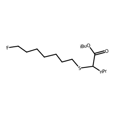 CCCC(SCCCCCCCF)C(=O)OCC(C)C